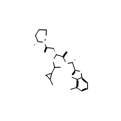 CC[C@H]1CCCCN1C(=O)C[C@H](NC(O)C1CC1C(C)C)C(=O)N[C@@H](C)c1nc2c(F)cccc2[nH]1